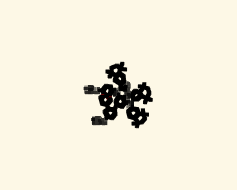 CC(C)(C)c1ccc(N2c3cc(-c4ccc(C(C)(C)C)cc4-c4ccccc4)cc4c3B(c3cc5c(cc3N4c3ccc4c(c3)C(C)(C)CCC4(C)C)C(C)(C)CCC5(C)C)c3oc4cc5c(cc4c32)C(C)(C)CCC5(C)C)cc1